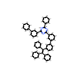 c1ccc(C(=C(c2ccccc2)c2cccc(-c3cccc(-c4nc(-c5ccccc5)nc(-c5cccc(-c6ccccc6)c5)n4)c3)c2)c2ccccc2)cc1